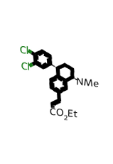 CCOC(=O)/C=C/c1ccc2c(c1)[C@@H](NC)CC[C@H]2c1ccc(Cl)c(Cl)c1